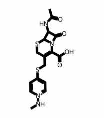 CN[n+]1ccc(SCC2=C(C(=O)O)N3C(=O)C(NC(C)=O)C3SC2)cc1